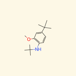 COc1cc(C(C)(C)C)ccc1NC(C)(C)C